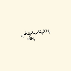 CCSCC[C@H](N)C=O